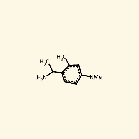 CNc1ccc(C(C)N)c(C)c1